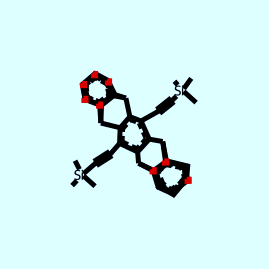 C[Si](C)(C)C#Cc1c2c(c(C#C[Si](C)(C)C)c3c1C1c4ccccc4C3c3ccccc31)C1c3ccccc3C2c2ccccc21